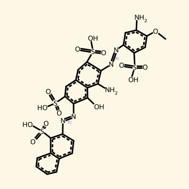 COc1cc(S(=O)(=O)O)c(/N=N/c2c(S(=O)(=O)O)cc3cc(S(=O)(=O)O)c(/N=N/c4ccc5ccccc5c4S(=O)(=O)O)c(O)c3c2N)cc1N